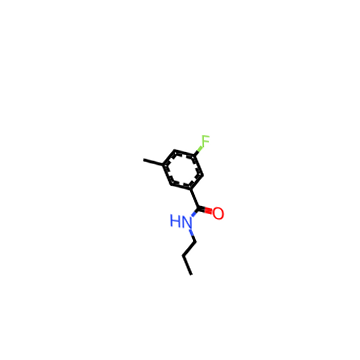 CCCNC(=O)c1cc(C)cc(F)c1